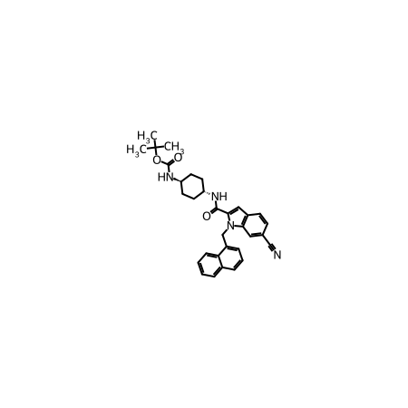 CC(C)(C)OC(=O)N[C@H]1CC[C@H](NC(=O)c2cc3ccc(C#N)cc3n2Cc2cccc3ccccc23)CC1